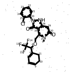 Cn1c(COC(C2=CC=CCC2)C(F)(F)F)c2c(=O)n(-c3ccccc3Cl)[nH]c2cc1=O